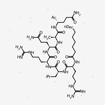 CCCCCCCCCCCCCCCC(=O)N[C@@H](CCCNC(=N)N)C(=O)N[C@@H](CC(C)C)C(=O)N[C@@H](CCCNC(=N)N)C(=O)N[C@@H](CCC(N)=O)C(=O)N[C@@H](C)C(=O)N[C@@H](CCC(N)=O)C(C)=O